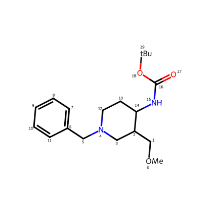 COCC1CN(Cc2ccccc2)CCC1NC(=O)OC(C)(C)C